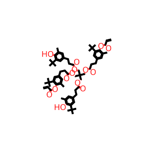 C=CC(=O)Oc1c(C)cc(CCC(=O)OCC(COC(=O)CCc2cc(C)c(O)c(C(C)(C)C)c2)(COC(=O)CCc2cc(C)c(O)c(C(C)(C)C)c2)COC(=O)CCc2cc(C)c(OC(=O)C=C)c(C(C)(C)C)c2)cc1C(C)(C)C